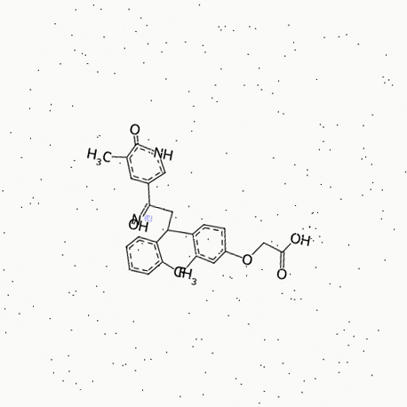 Cc1ccccc1C(C/C(=N\O)c1c[nH]c(=O)c(C)c1)c1ccc(OCC(=O)O)cc1F